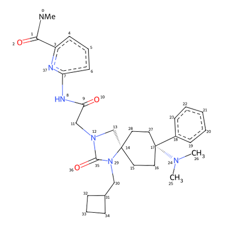 CNC(=O)c1cccc(NC(=O)CN2C[C@]3(CC[C@@](c4ccccc4)(N(C)C)CC3)N(CC3CCC3)C2=O)n1